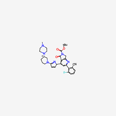 CN1CCN([C@H]2CCCN(C3=NC(c4cc(-c5c(F)cccc5C#N)nc5c4C(=O)N(C(=O)OC(C)(C)C)C5)C=C3)C2)CC1